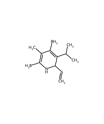 BC1=C(C)C(B)=C(C(C)C)C(C=C)N1